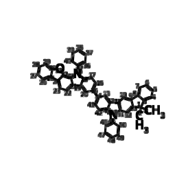 CC1(C)c2ccccc2-c2cc3c4cc(-c5ccc6c(c5)c5ccc7c8ccccc8oc7c5n6-c5ccccc5)ccc4n(-c4ccccc4)c3cc21